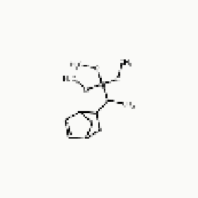 CO[Si](OC)(OC)C(C)C1CC2C=CC1C2